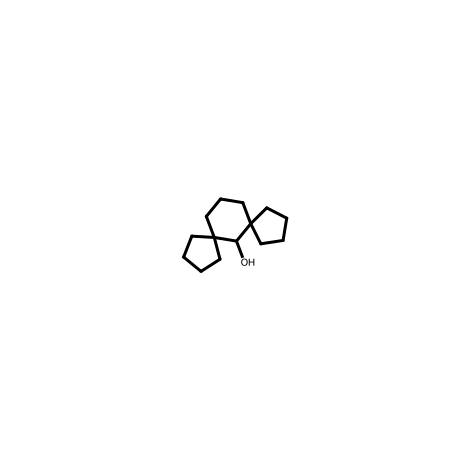 OC1C2(CCCC2)CCCC12CCCC2